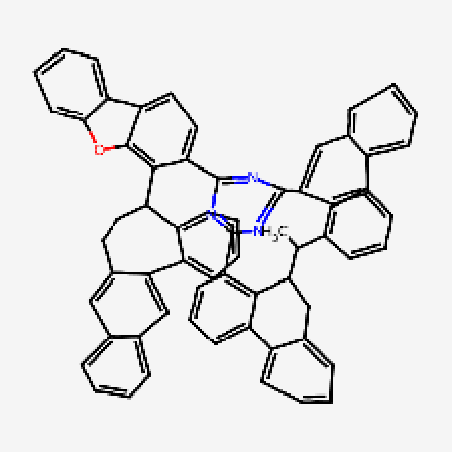 CC(c1ccccc1)C1Cc2ccccc2-c2cccc(-c3nc(-c4ccc5ccccc5c4)nc(-c4ccc5c(oc6ccccc65)c4C4CCc5cc6ccccc6cc5-c5ccccc54)n3)c21